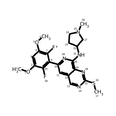 COc1cc(OC)c(F)c(-c2cc3cnc(SC)nc3c(NC3CCN(C)C3)n2)c1F